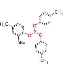 CCCCc1cc(C)ccc1OP(Oc1ccc(C)cc1)Oc1ccc(C)cc1